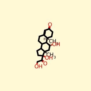 C[C@]12CCC(=O)C=C1CCC1C2[C@@H](O)C[C@@]2(C)C1CCC2(O)C(=O)CO